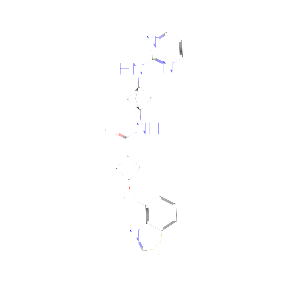 O=C(NC12CC(Nc3ncccn3)(C1)C2)[C@H]1C[C@H](Oc2cccc3scnc23)C1